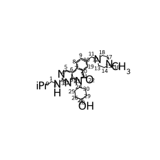 CC(C)CNc1ncc2c3ccc(CN4CCN(C)CC4)cc3c(=O)n([C@H]3CC[C@H](O)CC3)c2n1